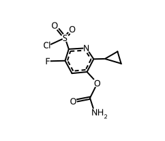 NC(=O)Oc1cc(F)c(S(=O)(=O)Cl)nc1C1CC1